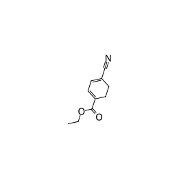 CCOC(=O)C1=CC=C(C#N)CC1